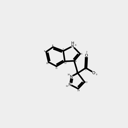 [O]C(=O)C1(c2c[nH]c3ccccc23)C=CN=N1